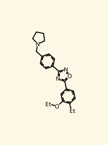 CCOc1cc(-c2nc(-c3ccc(CN4CCCC4)cc3)no2)ccc1CC